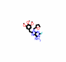 COc1cc(Cc2nc3c(N)nc(F)nc3n2CC2CCCO2)cc(OC)c1OC